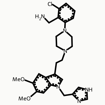 COc1cc2c(CCN3CCN(c4cccc(Cl)c4CN)CC3)cn(Cc3c[nH]cn3)c2cc1OC